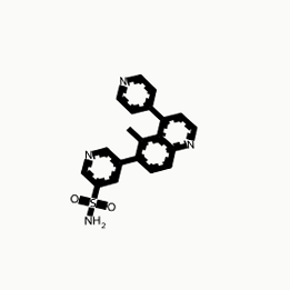 Cc1c(-c2cncc(S(N)(=O)=O)c2)ccc2nccc(-c3ccncc3)c12